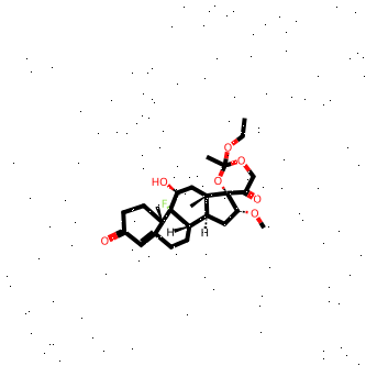 CCOC1(C)OCC(=O)[C@@]2(O1)[C@H](OC)C[C@H]1[C@@H]3CCC4=CC(=O)CC[C@]4(C)[C@@]3(F)[C@@H](O)C[C@@]12C